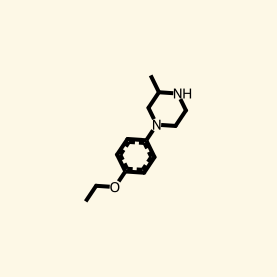 CCOc1ccc(N2CCNC(C)C2)cc1